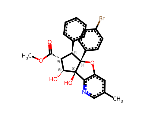 COC(=O)[C@H]1[C@@H](O)[C@@]2(O)c3ncc(C)cc3O[C@@]2(c2ccc(Br)cc2)[C@@H]1c1ccccc1